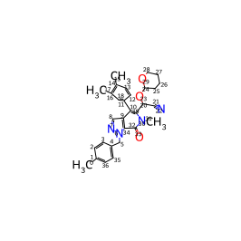 Cc1ccc(Cn2ncc3c(-c4ccc(C)c(C)c4)c(C(C#N)OC4CCCCO4)n(C)c(=O)c32)cc1